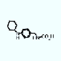 O=C(O)NCc1ccc(N[C]2CCCCC2)cc1